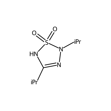 CC(C)C1=NN(C(C)C)S(=O)(=O)N1